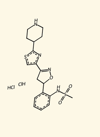 CS(=O)(=O)Nc1ccccc1C1CC(c2csc(C3CCNCC3)n2)=NO1.Cl.Cl